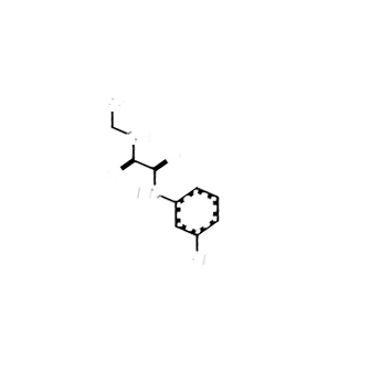 CC(=O)CNC(=O)C(=O)Nc1cccc(C(F)(F)F)c1